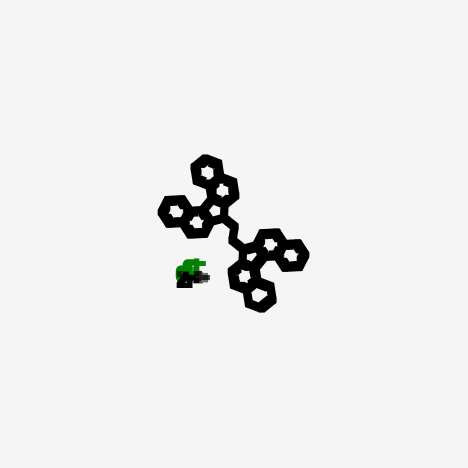 C1=CCc2ccc3c(c2=C1)=c1c(ccc2ccccc12)=C3CCC1c2ccc3ccccc3c2-c2c1ccc1ccccc21.[Cl-].[Cl-].[Zr+2]